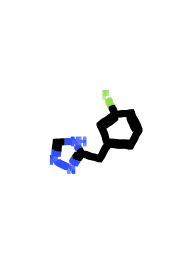 Fc1cccc(Cc2nnc[nH]2)c1